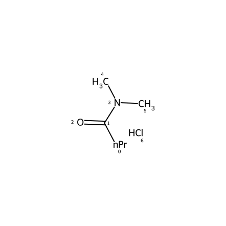 CCCC(=O)N(C)C.Cl